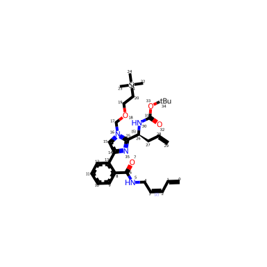 C=C/C=C\CNC(=O)c1ccccc1-c1cn(COCC[Si](C)(C)C)c([C@H](CC=C)NC(=O)OC(C)(C)C)n1